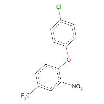 O=[N+]([O-])c1cc(C(F)(F)F)ccc1Oc1c[c]c(Cl)cc1